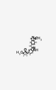 C[C@@H]1CCN(c2ccc3[nH]nc(Cc4ccc5c(cnn5C)c4)c3c2)C1=O